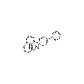 NC1(c2cccc3ccccc23)C=CC(c2ccccc2)=CC1